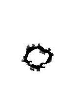 [CH]1CC=CCC=CC=CCCCC1